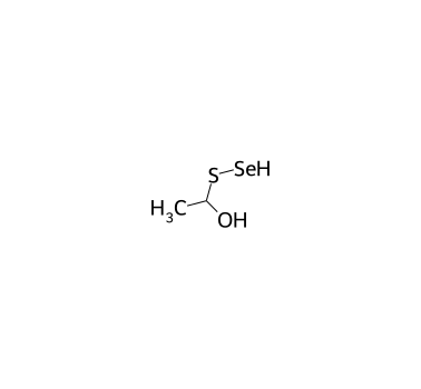 CC(O)S[SeH]